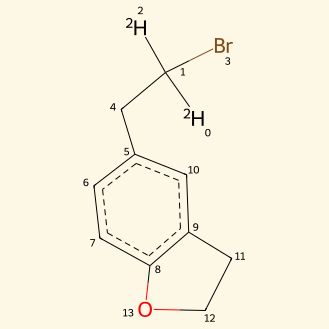 [2H]C([2H])(Br)Cc1ccc2c(c1)CCO2